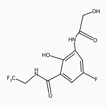 O=C(CO)Nc1cc(F)cc(C(=O)NCC(F)(F)F)c1O